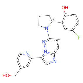 OCc1ccnc(-c2cnc3ccc(N4CCC[C@@H]4c4cc(F)ccc4O)nn23)c1